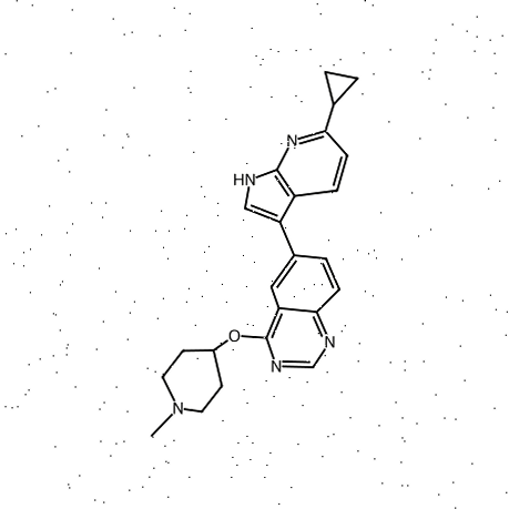 CN1CCC(Oc2ncnc3ccc(-c4c[nH]c5nc(C6CC6)ccc45)cc23)CC1